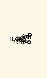 C=C(C)C(N)CC(COCc1ccccc1)C(C)OC(=O)NCc1ccccc1